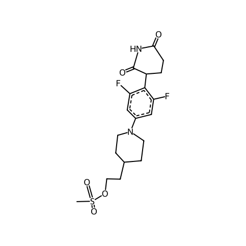 CS(=O)(=O)OCCC1CCN(c2cc(F)c(C3CCC(=O)NC3=O)c(F)c2)CC1